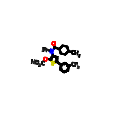 CC1CCC(C(=O)N(c2cc(-c3cccc(C(F)(F)F)c3)sc2OC(=O)O)C(C)C)CC1